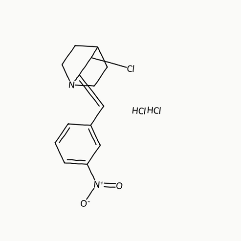 Cl.Cl.O=[N+]([O-])c1cccc(C=C2C(Cl)C3CCN2CC3)c1